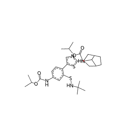 CC(C)OC(=O)Nc1ccc(-c2cnc(C3CC4CCC(C3)C4NC(=O)OC(C)C)s2)c(SNC(C)(C)C)c1